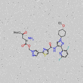 CCO[C@H]1CC[C@H](n2cc(NC(=O)c3csc(-c4cnn(COC(=O)[C@@H](N)CC(=O)OC)c4)n3)c(-c3nc(F)ccc3F)n2)CC1